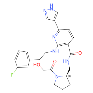 O=C(NC[C@H]1CCCN1C(=O)CO)c1ccc(-c2cn[nH]c2)nc1NCCc1cccc(F)c1